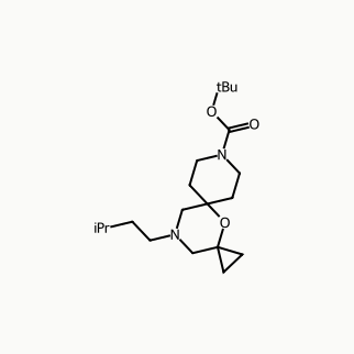 CC(C)CCN1CC2(CCN(C(=O)OC(C)(C)C)CC2)OC2(CC2)C1